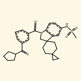 CS(=O)(=O)Nc1ccc2c(c1)C1(CCC3(CC3)CC1)CN2C(=O)c1cccc(C(=O)C2CCCC2)c1